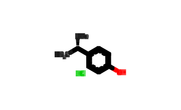 CN[C@@H](C(=O)O)c1ccc(O)cc1.Cl